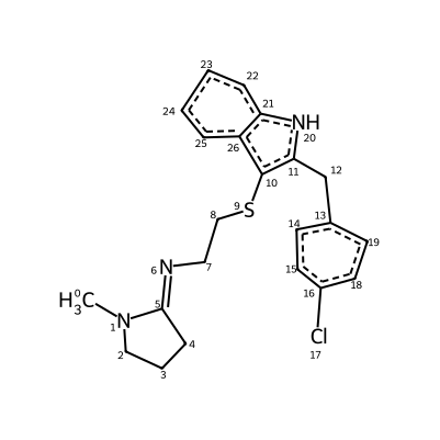 CN1CCCC1=NCCSc1c(Cc2ccc(Cl)cc2)[nH]c2ccccc12